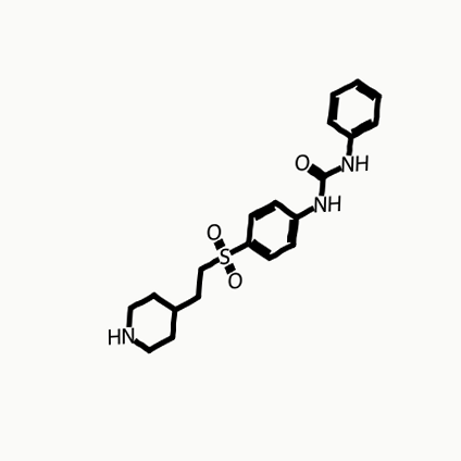 O=C(Nc1ccccc1)Nc1ccc(S(=O)(=O)CCC2CCNCC2)cc1